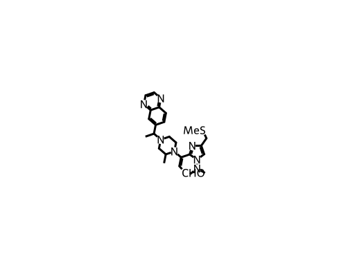 CSCc1cn(N(C)C)c(/C(=C\C=O)N2CCN(C(C)c3ccc4nccnc4c3)CC2C)n1